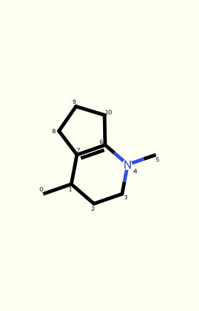 CC1CCN(C)C2=C1CCC2